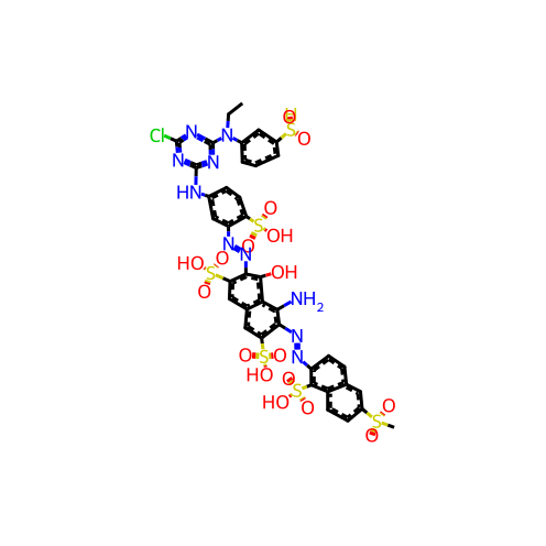 CCN(c1cccc([SH](=O)=O)c1)c1nc(Cl)nc(Nc2ccc(S(=O)(=O)O)c(/N=N/c3c(S(=O)(=O)O)cc4cc(S(=O)(=O)O)c(/N=N/c5ccc6cc(S(C)(=O)=O)ccc6c5S(=O)(=O)O)c(N)c4c3O)c2)n1